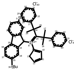 CC(C)(C)c1ccc2c(c1)[CH]([Zr+2]([C]1=CC=CC1)=[C](C(C)(C)c1ccccc1)C(C)(C)c1ccccc1)c1cc(C(C)(C)C)ccc1-2.[Cl-].[Cl-]